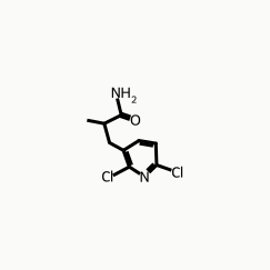 CC(Cc1ccc(Cl)nc1Cl)C(N)=O